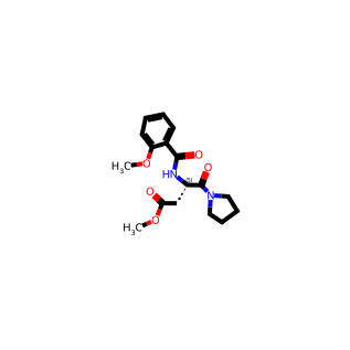 COC(=O)C[C@H](NC(=O)c1ccccc1OC)C(=O)N1CCCC1